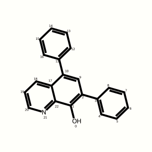 Oc1c(-c2ccccc2)cc(-c2ccccc2)c2cccnc12